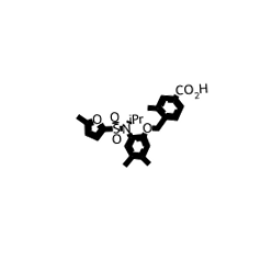 Cc1ccc(S(=O)(=O)N(c2cc(C)c(C)cc2OCc2ccc(C(=O)O)cc2C)C(C)C)o1